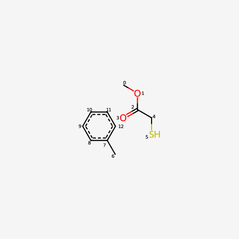 COC(=O)CS.Cc1ccccc1